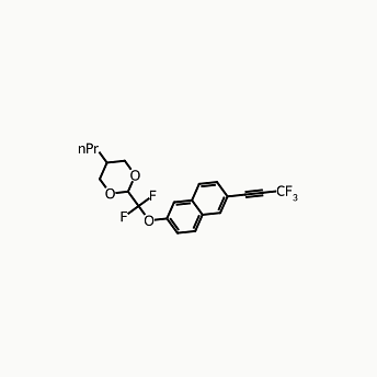 CCCC1COC(C(F)(F)Oc2ccc3cc(C#CC(F)(F)F)ccc3c2)OC1